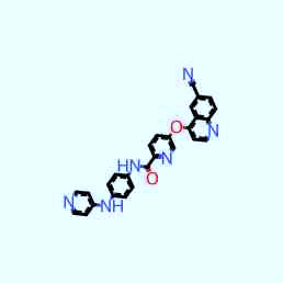 N#Cc1ccc2nccc(Oc3ccc(C(=O)Nc4ccc(Nc5ccncc5)cc4)nc3)c2c1